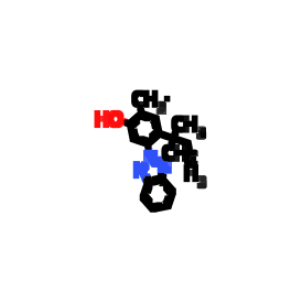 [CH2]c1cc(C(C)(C)CC)c(-n2nc3ccccc3n2)cc1O